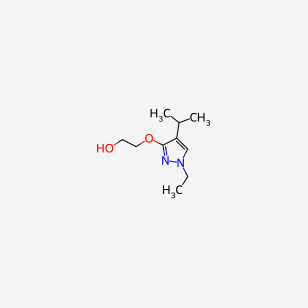 CCn1cc(C(C)C)c(OCCO)n1